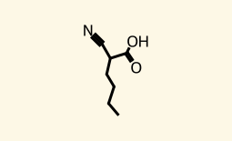 CCCCC(C#N)C(=O)O